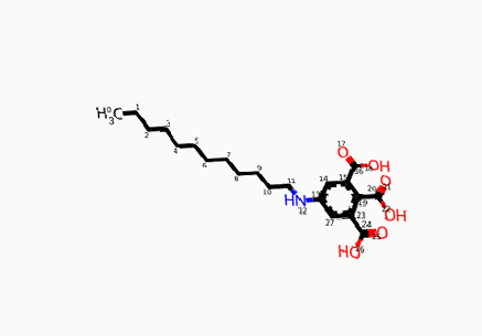 CCCCCCCCCCCCNc1cc(C(=O)O)c(C(=O)O)c(C(=O)O)c1